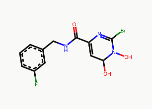 O=C(NCc1cccc(F)c1)C1=CC(O)N(O)C(Br)=N1